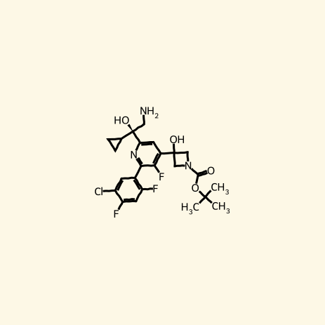 CC(C)(C)OC(=O)N1CC(O)(c2cc([C@@](O)(CN)C3CC3)nc(-c3cc(Cl)c(F)cc3F)c2F)C1